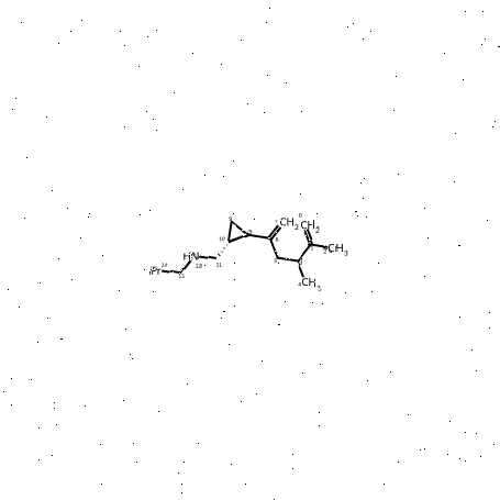 C=C(C)C(C)CC(=C)C1C[C@H]1CNCC(C)C